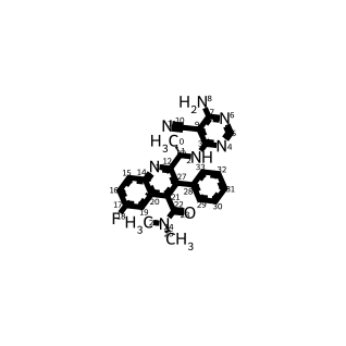 C[C@H](Nc1ncnc(N)c1C#N)c1nc2ccc(F)cc2c(C(=O)N(C)C)c1-c1ccccc1